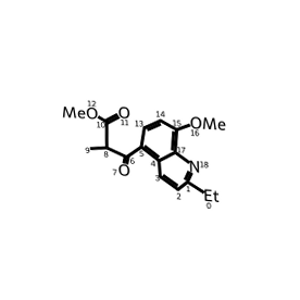 CCc1ccc2c(C(=O)C(C)C(=O)OC)ccc(OC)c2n1